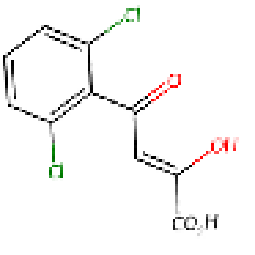 O=C(O)/C(O)=C/C(=O)c1c(Cl)cccc1Cl